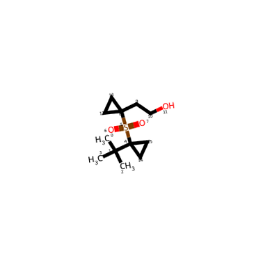 CC(C)(C)C1(S(=O)(=O)C2(CCO)CC2)CC1